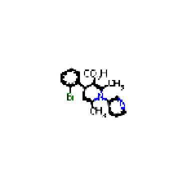 CC1=CC(c2ccccc2Br)C(C(=O)O)=C(C)N1c1cccnc1